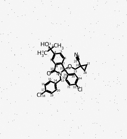 CC(C)(O)c1ccc2c(c1)C(=O)N(Cc1ccc(Cl)cc1)[C@@]2(OCC1(C#N)CC1)c1ccc(Cl)cc1